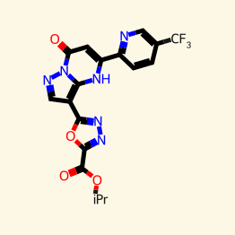 CC(C)OC(=O)c1nnc(-c2cnn3c(=O)cc(-c4ccc(C(F)(F)F)cn4)[nH]c23)o1